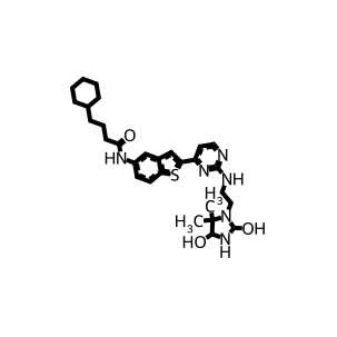 CC1(C)C(O)NC(O)N1CCNc1nccc(-c2cc3cc(NC(=O)CCCC4CCCCC4)ccc3s2)n1